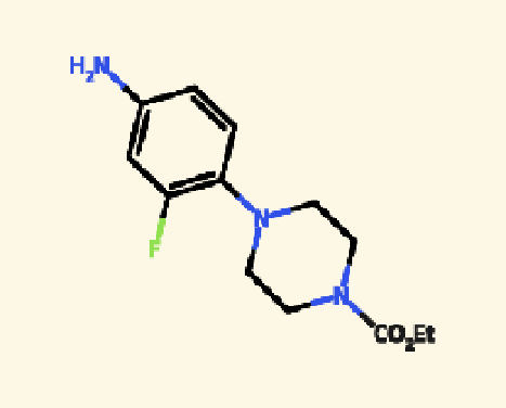 CCOC(=O)N1CCN(c2ccc(N)cc2F)CC1